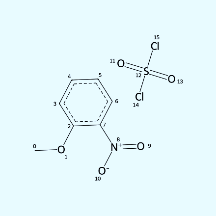 COc1ccccc1[N+](=O)[O-].O=S(=O)(Cl)Cl